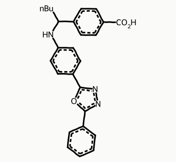 CCCCC(Nc1ccc(-c2nnc(-c3ccccc3)o2)cc1)c1ccc(C(=O)O)cc1